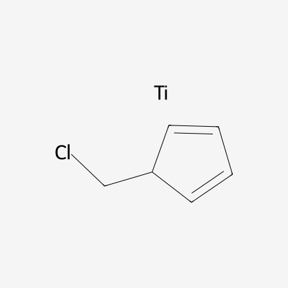 ClCC1C=CC=C1.[Ti]